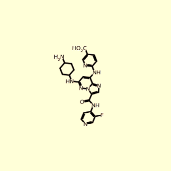 NC1CCC(Nc2cc(Nc3ccc(C(=O)O)cn3)c3ncc(C(=O)Nc4ccncc4F)n3n2)CC1